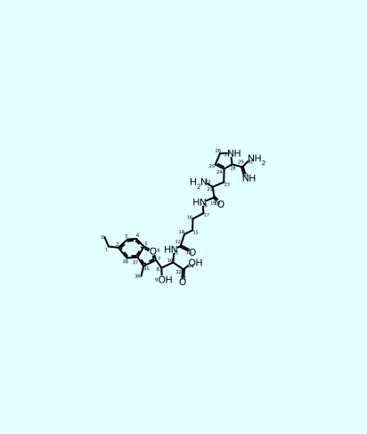 CCc1ccc2oc(C(O)C(NC(=O)CCCCNC(=O)C(N)CC3=CCNC3C(=N)N)C(=O)O)c(C)c2c1